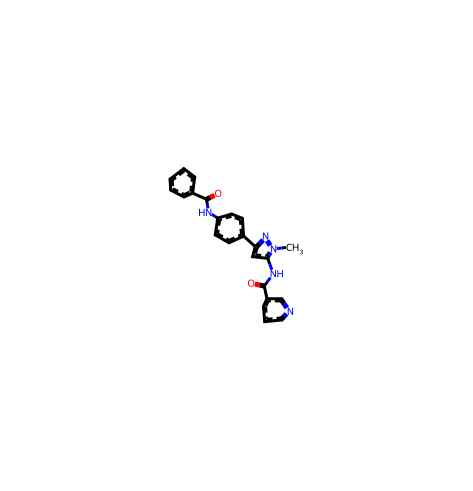 Cn1nc(-c2ccc(NC(=O)c3ccccc3)cc2)cc1NC(=O)c1cccnc1